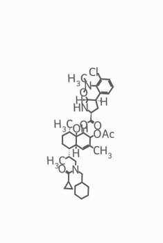 CC(=O)OC1C(C)=C[C@@H]2[C@H](C(C)CN(CC3CCCCC3)C(=O)C3CC3)CC[C@H](C)[C@]2(O)[C@H]1OC(=O)[C@@H]1C[C@@H]2c3cccc(Cl)c3N(C)O[C@H]2N1